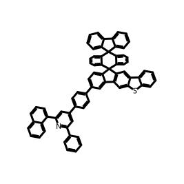 c1ccc(-c2cc(-c3ccc(-c4ccc5c(c4)-c4cc6sc7ccccc7c6cc4C54c5ccccc5C5(c6ccccc6-c6ccccc65)c5ccccc54)cc3)cc(-c3cccc4ccccc34)n2)cc1